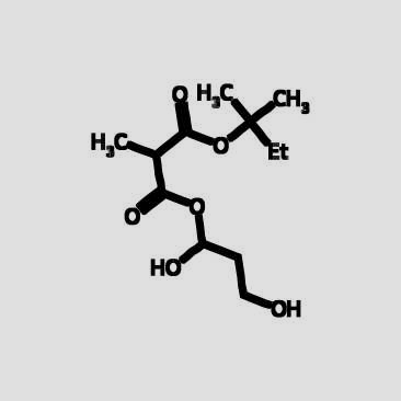 CCC(C)(C)OC(=O)C(C)C(=O)OC(O)CCO